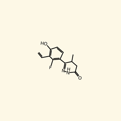 C=Cc1c(O)ccc(C2=NNC(=O)CC2C)c1F